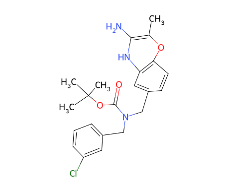 CC1=C(N)Nc2cc(CN(Cc3cccc(Cl)c3)C(=O)OC(C)(C)C)ccc2O1